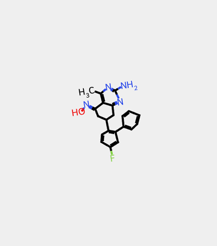 Cc1nc(N)nc2c1C(=NO)CC(c1ccc(F)cc1-c1ccccc1)C2